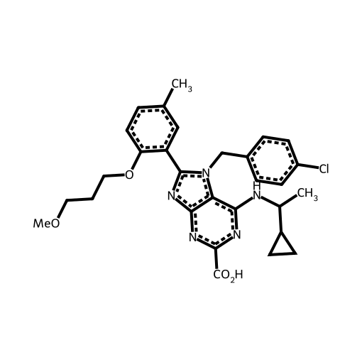 COCCCOc1ccc(C)cc1-c1nc2nc(C(=O)O)nc(NC(C)C3CC3)c2n1Cc1ccc(Cl)cc1